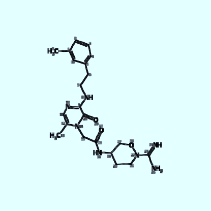 Cc1cccc(CCNc2ncc(C)n(CC(=O)NC3CCN(C(=N)N)OC3)c2=O)c1